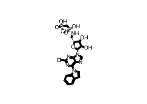 O=P(O)(O)CP(=O)(O)NC[C@H]1O[C@@H](n2cnc3c(-n4ccc5ccccc54)nc(Cl)nc32)C(O)C1O